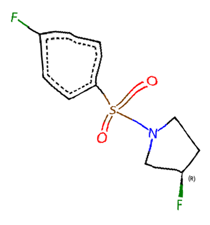 O=S(=O)(c1ccc(F)cc1)N1CC[C@@H](F)C1